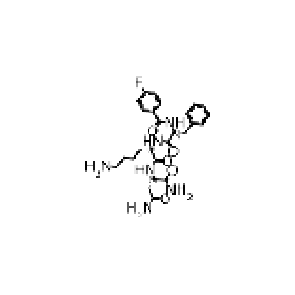 NCCCC[C@H](NC(=O)[C@H](Cc1ccccc1)NC(=O)c1ccc(F)cc1)C(=O)N[C@@H](CC(N)=O)C(N)=O